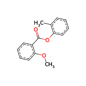 COc1ccccc1C(=O)Oc1ccccc1C